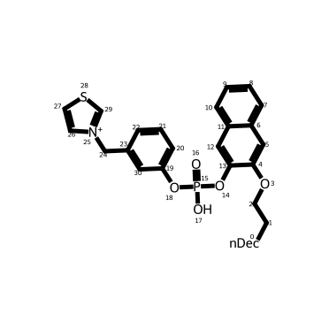 CCCCCCCCCCCCOc1cc2ccccc2cc1OP(=O)(O)Oc1cccc(C[n+]2ccsc2)c1